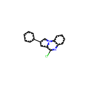 Clc1nc2ccccc2n2cc(-c3ccccc3)cc12